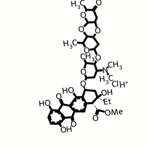 CC[C@@]1(O)C[C@H](OC2CC(N(C)C)C(OC3CC4OC5CC(=O)C(C)OC5OC4C(C)O3)C(C)O2)c2c(cc3c(c2O)C(=O)c2c(O)ccc(O)c2C3=O)[C@H]1C(=O)OC.[Cl-].[H+]